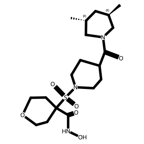 C[C@@H]1C[C@@H](C)CN(C(=O)C2CCN(S(=O)(=O)C3(C(=O)NO)CCOCC3)CC2)C1